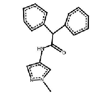 Cn1cc(NC(=O)C(c2ccccc2)c2ccccc2)cn1